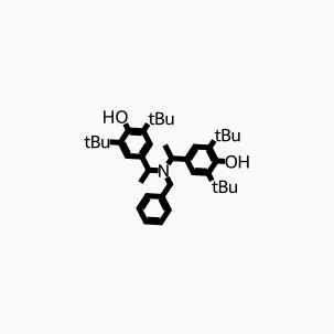 CC(c1cc(C(C)(C)C)c(O)c(C(C)(C)C)c1)N(Cc1ccccc1)C(C)c1cc(C(C)(C)C)c(O)c(C(C)(C)C)c1